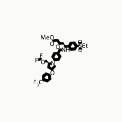 CCS(=O)(=O)c1ccc([C@H](CCCC(=O)OC)NC(=O)c2ccc(N3C[C@@H](Oc4ccc(C(F)(F)F)cc4)C[C@H]3COC(F)F)cc2)cc1